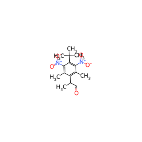 Cc1c(C(C)C=O)c(C)c([N+](=O)[O-])c(C(C)(C)C)c1[N+](=O)[O-]